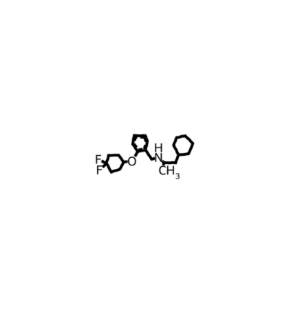 CC(CC1CCCCC1)NCc1ccccc1OC1CCC(F)(F)CC1